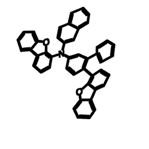 c1ccc(-c2cc(N(c3ccc4ccccc4c3)c3cccc4c3oc3ccccc34)ccc2-c2cccc3c2oc2ccccc23)cc1